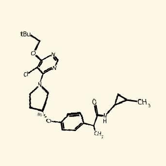 CC(C(=O)NC1CC1C)c1ccc(O[C@@H]2CCN(c3ncnc(OCC(C)(C)C)c3Cl)C2)cc1